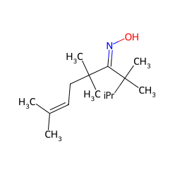 CC(C)=CCC(C)(C)/C(=N/O)C(C)(C)C(C)C